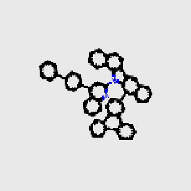 c1ccc(-c2ccc(-c3cc(-n4c5c(-c6ccc7c8ccccc8c8ccccc8c7c6)c6ccccc6cc5c5ccc6ccccc6c54)nc4ccccc34)cc2)cc1